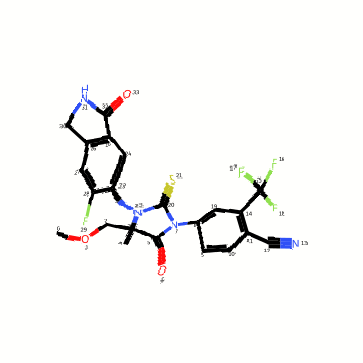 COCC1(C)C(=O)N(c2ccc(C#N)c(C(F)(F)F)c2)C(=S)N1c1cc2c(cc1F)CNC2=O